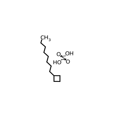 CCCCCCCCC1CCC1.O=S(=O)(O)O